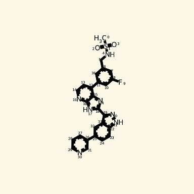 CS(=O)(=O)NCc1cc(F)cc(-c2ccnc3[nH]c(-c4n[nH]c5ccc(-c6cccnc6)cc45)nc23)c1